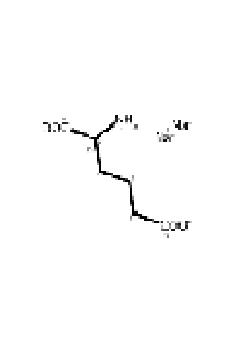 N[C@@H](CCCC(=O)[O-])C(=O)[O-].[Na+].[Na+]